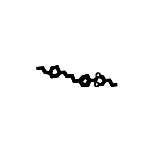 CCCC1CCC(CCCCc2ccc(C3OCC(CCC)CO3)cc2)CC1